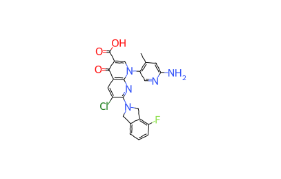 Cc1cc(N)ncc1-n1cc(C(=O)O)c(=O)c2cc(Cl)c(N3Cc4cccc(F)c4C3)nc21